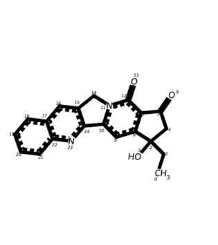 CCC1(O)CC(=O)c2c1cc1n(c2=O)Cc2cc3ccccc3nc2-1